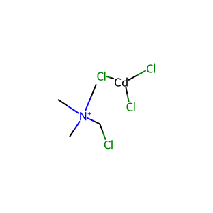 C[N+](C)(C)CCl.[Cl][Cd]([Cl])[Cl]